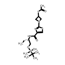 CC[C@@H](CO[Si](C)(C)C(C)(C)C)NC(=O)c1csc(N2CC(SC(C)=O)C2)n1